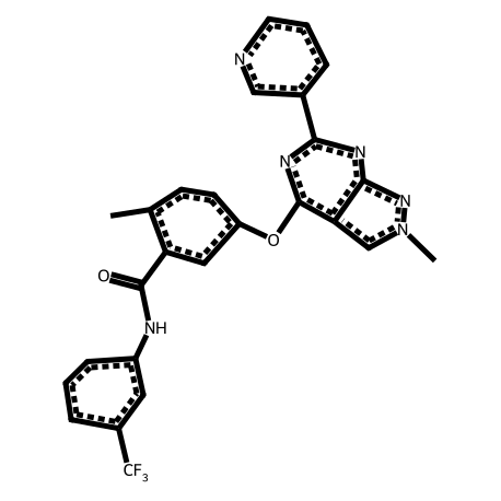 Cc1ccc(Oc2nc(-c3cccnc3)nc3nn(C)cc23)cc1C(=O)Nc1cccc(C(F)(F)F)c1